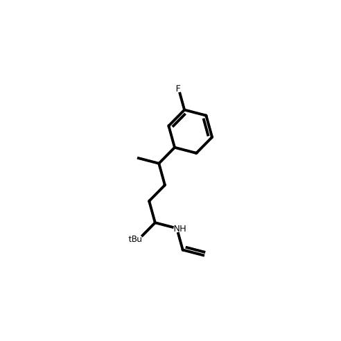 C=CNC(CCC(C)C1C=C(F)C=CC1)C(C)(C)C